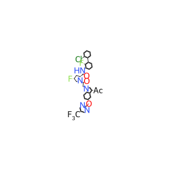 CC(=O)c1cn(CC(=O)N2C[C@H](F)C[C@H]2C(=O)Nc2cccc(-c3ccccc3Cl)c2F)c2ccc(Oc3ncc(C(F)(F)F)cn3)cc12